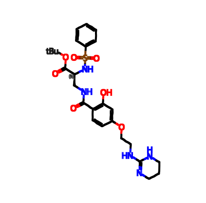 CC(C)(C)OC(=O)[C@H](CNC(=O)c1ccc(OCCNC2=NCCCN2)cc1O)NS(=O)(=O)c1ccccc1